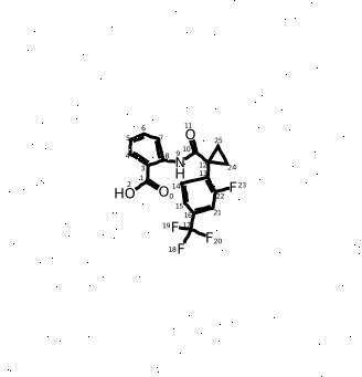 O=C(O)c1ccccc1NC(=O)C1(c2ccc(C(F)(F)F)cc2F)CC1